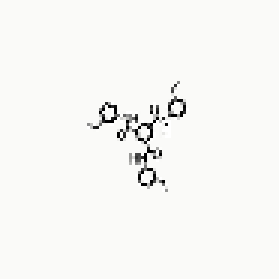 CCc1cccc(NC(=O)c2cc(C(=O)Nc3cccc(CC)c3)cc(C(=O)Nc3cccc(CC)c3)c2)c1